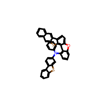 c1ccc(N(c2ccc3c(c2)sc2ccccc23)c2cccc3oc4ccc5c6cc7ccccc7cc6sc5c4c23)cc1